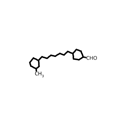 CC1CCCC(CCCCCCCC2CCC(C=O)CC2)C1